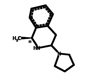 C[C@@H]1NC(N2CCCC2)Cc2ccccc21